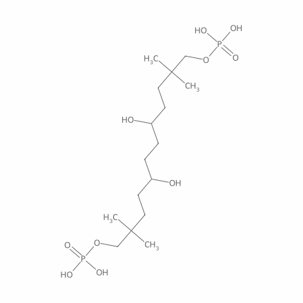 CC(C)(CCC(O)CCC(O)CCC(C)(C)COP(=O)(O)O)COP(=O)(O)O